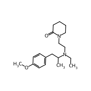 CCN(CCN1CCCCC1=O)C(C)Cc1ccc(OC)cc1